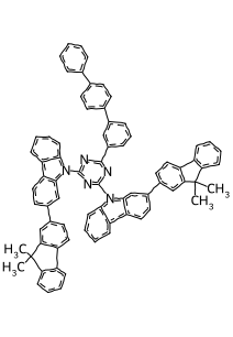 CC1(C)c2ccccc2-c2ccc(-c3ccc4c5ccccc5n(-c5nc(-c6cccc(-c7ccc(-c8ccccc8)cc7)c6)nc(-n6c7ccccc7c7ccc(-c8ccc9c(c8)C(C)(C)c8ccccc8-9)cc76)n5)c4c3)cc21